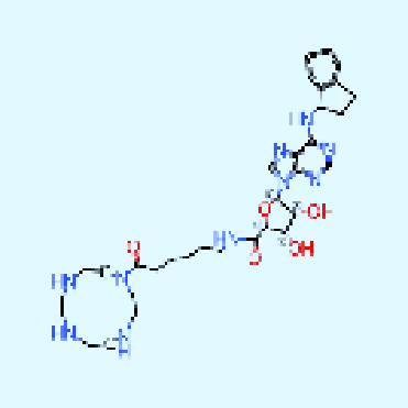 O=C(NCCCCCC(=O)N1CCNCCNCCNCC1)[C@H]1O[C@@H](n2cnc3c(NC4CCc5ccccc54)ncnc32)[C@H](O)[C@@H]1O